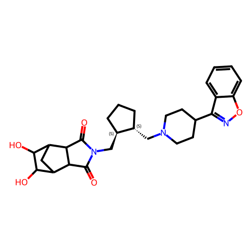 O=C1C2C3CC(C(O)C3O)C2C(=O)N1C[C@H]1CCC[C@@H]1CN1CCC(c2noc3ccccc23)CC1